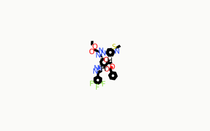 CCOC(=O)c1nc([C@H]2C[C@@H](n3cc(-c4cc(F)c(F)c(F)c4)nn3)[C@H]3OC(c4ccccc4)OC[C@H]3O2)n(-c2ccc3nc(C)sc3c2)n1